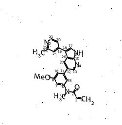 C=CC(=O)N(C)c1cc(OC)cc(-c2cnc3[nH]cc(-c4ccnc(C)c4)c3c2)c1